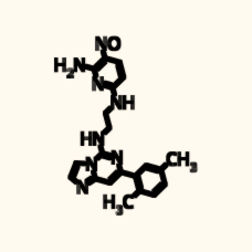 Cc1ccc(C)c(-c2cc3nccn3c(NCCNc3ccc(N=O)c(N)n3)n2)c1